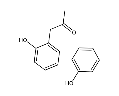 CC(=O)Cc1ccccc1O.Oc1ccccc1